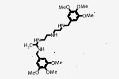 COc1cc(CNCCNCCNC(C)NCc2cc(OC)c(OC)c(OC)c2)cc(OC)c1OC